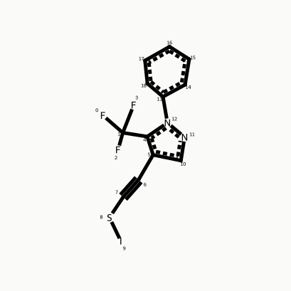 FC(F)(F)c1c(C#CSI)cnn1-c1ccccc1